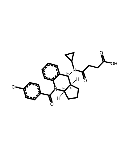 O=C(O)CCC(=O)N(C1CC1)[C@H]1c2ccccc2N(C(=O)c2ccc(Cl)cc2)[C@@H]2CCC[C@@H]21